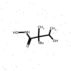 CC(O)C(C)(C(=O)NO)C(C)(C)C